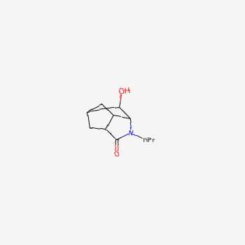 CCCN1C(=O)C2CC3CC2C1C3O